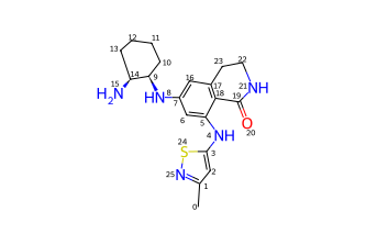 Cc1cc(Nc2cc(N[C@@H]3CCCC[C@@H]3N)cc3c2C(=O)NCC3)sn1